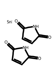 O=C1C=CC(=O)N1.O=C1C=CC(=O)N1.[Sn]